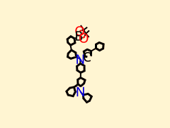 CC1(C)OB(c2cccc(-c3cccc(N(c4ccc(-c5ccccc5)cc4)c4ccc(-c5ccc6c(c5)c5ccccc5n6-c5ccccc5)cc4)c3)c2)OC1(C)C